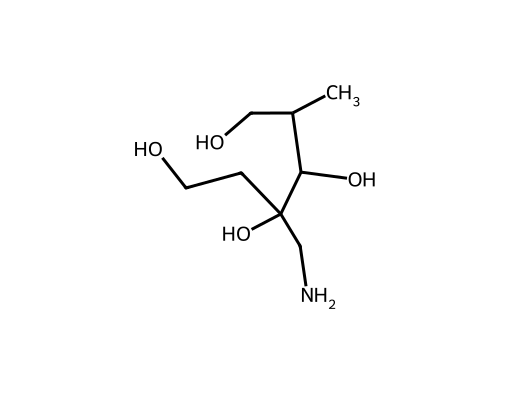 CC(CO)C(O)C(O)(CN)CCO